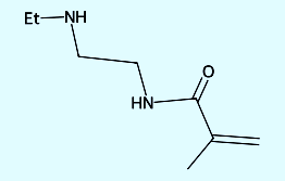 C=C(C)C(=O)NCCNCC